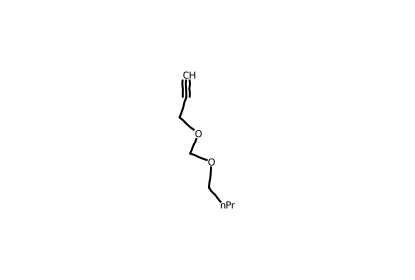 C#CCOCOCCCC